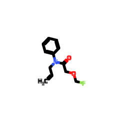 C=CCN(C(=O)COCF)c1ccccc1